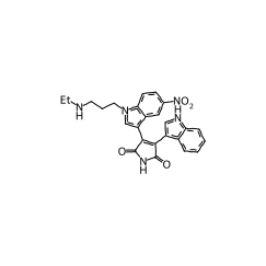 CCNCCCn1cc(C2=C(c3c[nH]c4ccccc34)C(=O)NC2=O)c2cc([N+](=O)[O-])ccc21